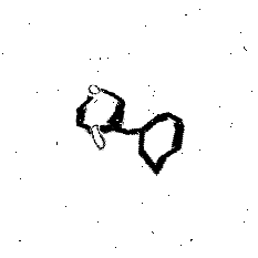 C1=CCCC(C2=COC=CO2)=C1